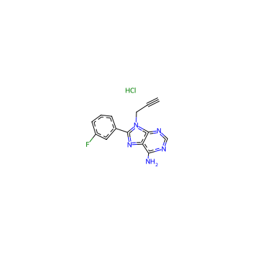 C#CCn1c(-c2cccc(F)c2)nc2c(N)ncnc21.Cl